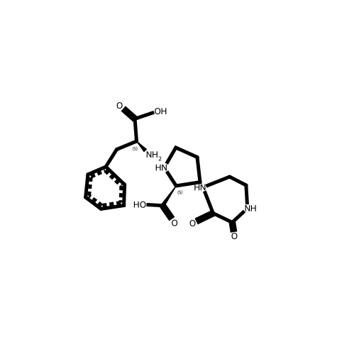 N[C@@H](Cc1ccccc1)C(=O)O.O=C(O)[C@@H]1CCCN1.O=C1NCCNC1=O